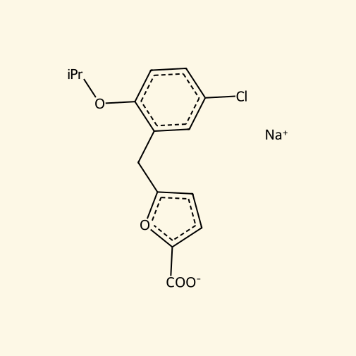 CC(C)Oc1ccc(Cl)cc1Cc1ccc(C(=O)[O-])o1.[Na+]